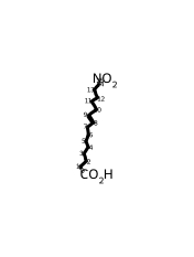 O=C(O)CCCCCCCC=CCCCCC[N+](=O)[O-]